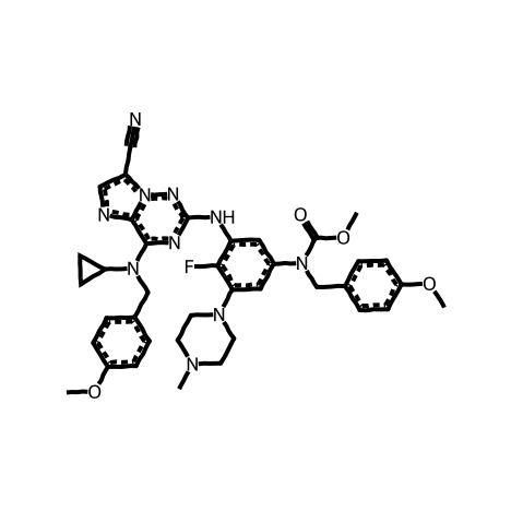 COC(=O)N(Cc1ccc(OC)cc1)c1cc(Nc2nc(N(Cc3ccc(OC)cc3)C3CC3)c3ncc(C#N)n3n2)c(F)c(N2CCN(C)CC2)c1